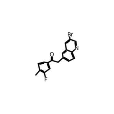 Cc1ccc(C(=O)Cc2ccc3ncc(Br)cc3c2)cc1F